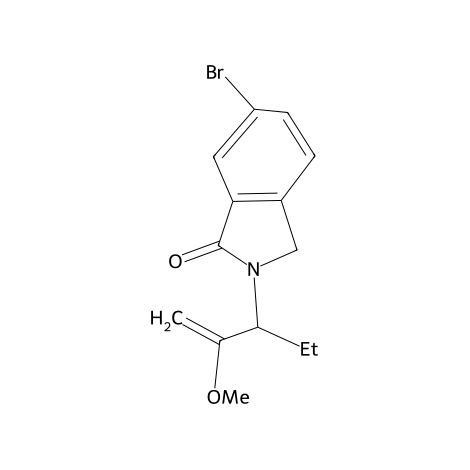 C=C(OC)C(CC)N1Cc2ccc(Br)cc2C1=O